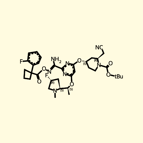 C[C@H](Oc1cc(O[C@H]2CCN(C(=O)OC(C)(C)C)[C@H](CC#N)C2)nc(C(N)=NOC(=O)C2(c3ccccc3F)CCC2)n1)[C@@H]1C[C@@H](F)CN1C